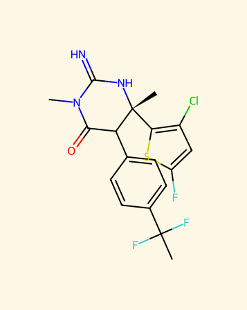 CN1C(=N)N[C@](C)(c2sc(F)cc2Cl)C(c2ccc(C(C)(F)F)cc2)C1=O